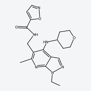 CCn1ncc2c(NC3CCOCC3)c(CNC(=O)c3ccno3)c(C)nc21